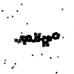 CC1CN(Cc2cccc(C(=O)N(C)C)c2)CC1C1=NC2=CN(C3CCOCC3)CN2C(=O)N1